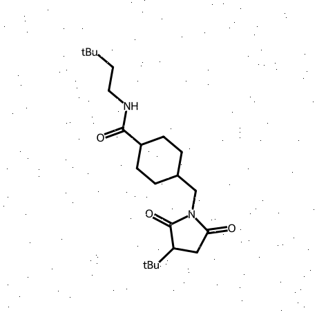 CC(C)(C)CCNC(=O)C1CCC(CN2C(=O)CC(C(C)(C)C)C2=O)CC1